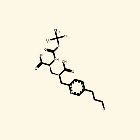 CC(C)(C)OC(=O)N[C@@H](C[C@H](Cc1ccc(CCCF)cn1)C(=O)O)C(=O)O